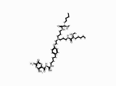 CCCCC[C@H](NC)C(=O)NCCCN(CCCNC(=O)[C@H](CCCCC)NC)CCOc1ccc(CCCCNC(=N)NC(=O)c2nc(Cl)c(N)nc2N)cc1